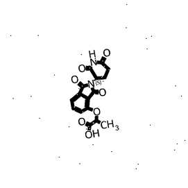 CC(Oc1cccc2c1C(=O)N([C@H]1CCC(=O)NC1=O)C2=O)C(=O)O